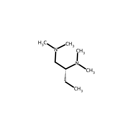 CC[C@H](CN(C)C)N(C)C